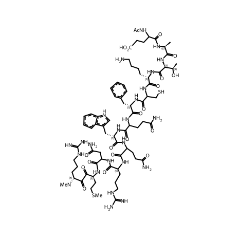 CN[C@H](CCCNC(=N)N)C(=O)C(=O)[C@H](CCSC)NC(=O)C(CC(N)=O)NC(=O)[C@H](CCCNC(=N)N)NC(=O)C(CCC(N)=O)NC(=O)[C@H](Cc1c[nH]c2ccccc12)NC(=O)C(CCC(N)=O)NC(=O)[C@H](Cc1ccccc1)NC(=O)C(CS)NC(=O)[C@H](CCCCN)NC(=O)[C@@H](NC(=O)[C@H](C)NC(=O)C(CCC(=O)O)NC(C)=O)[C@@H](C)O